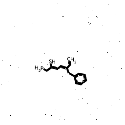 C=C/C(=C/C=C(\S)CP)Cc1ccccc1